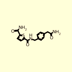 NC(=O)Cc1ccc(CNC(=O)c2ccc(C(N)=O)s2)cc1